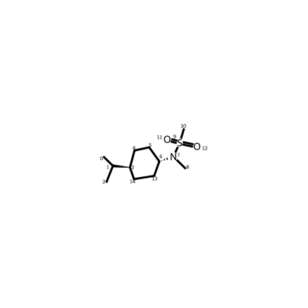 CC(C)[C@H]1CC[C@H](N(C)S(C)(=O)=O)CC1